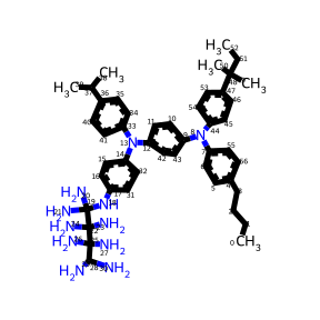 CCCCc1ccc(N(c2ccc(N(c3ccc(NC(N)(N)C(N)(N)C(N)(N)C(N)N)cc3)c3ccc(C(C)C)cc3)cc2)c2ccc(C(C)(C)CC)cc2)cc1